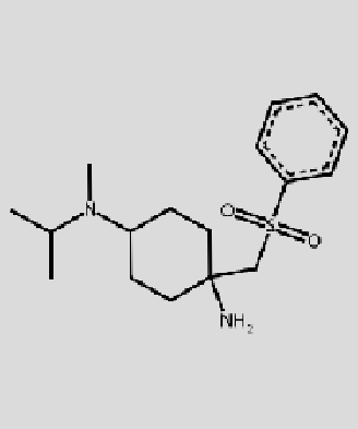 CC(C)N(C)C1CCC(N)(CS(=O)(=O)c2ccccc2)CC1